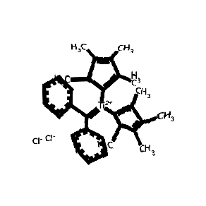 CC1=C(C)C(C)[C]([Ti+2]([C]2=C(C)C(C)=C(C)C2C)=[C](c2ccccc2)c2ccccc2)=C1C.[Cl-].[Cl-]